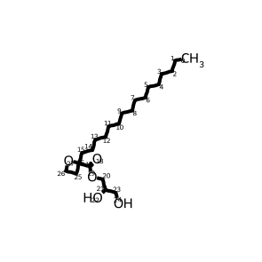 CCCCCCCCCCCCCCCCC1(C(=O)OCC(O)CO)CCO1